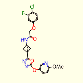 COc1ccc(Oc2nnc(C34CC(NC(=O)COc5ccc(Cl)c(F)c5)(C3)C4)o2)cn1